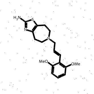 COc1cccc(OC)c1/C=C/CN1CCc2nc(N)sc2CC1